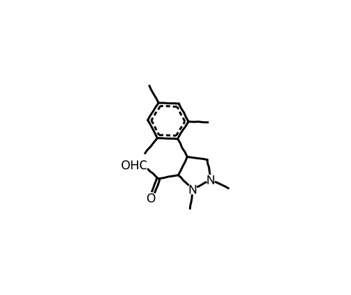 Cc1cc(C)c(C2CN(C)N(C)C2C(=O)C=O)c(C)c1